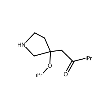 CC(C)OC1(CC(=O)C(C)C)CCNC1